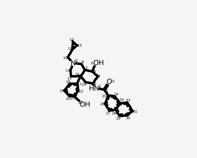 O=C(NC1CC(O)C2CN(CC3CC3)CCC2(c2cccc(O)c2)C1)c1ccc2ccccc2c1